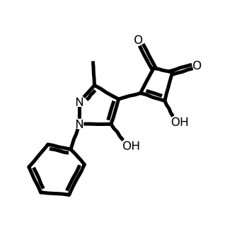 Cc1nn(-c2ccccc2)c(O)c1-c1c(O)c(=O)c1=O